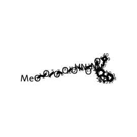 COCCOCCOCCOCCOCCNC(=O)CN1CC2(CCC(c3ccccc3)(N(C)C)CC2)N(CC2CCC2)C1=O